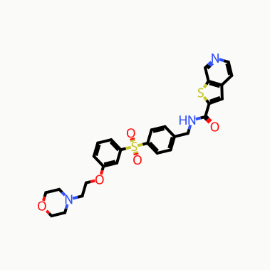 O=C(NCc1ccc(S(=O)(=O)c2cccc(OCCN3CCOCC3)c2)cc1)c1cc2ccncc2s1